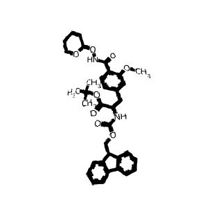 COc1cc(CC(NC(=O)OCC2c3ccccc3-c3ccccc32)C(=O)OC(C)(C)C)ccc1C(=O)NOC1CCCCO1